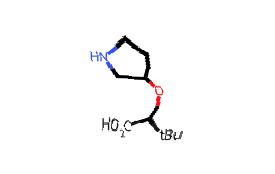 CC(C)(C)C(OC1CCNC1)C(=O)O